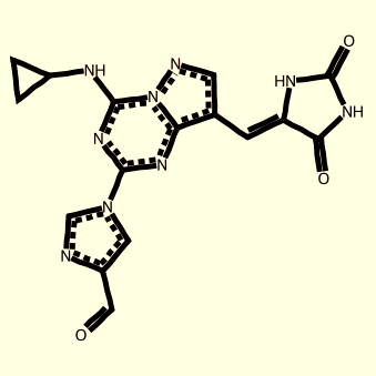 O=Cc1cn(-c2nc(NC3CC3)n3ncc(C=C4NC(=O)NC4=O)c3n2)cn1